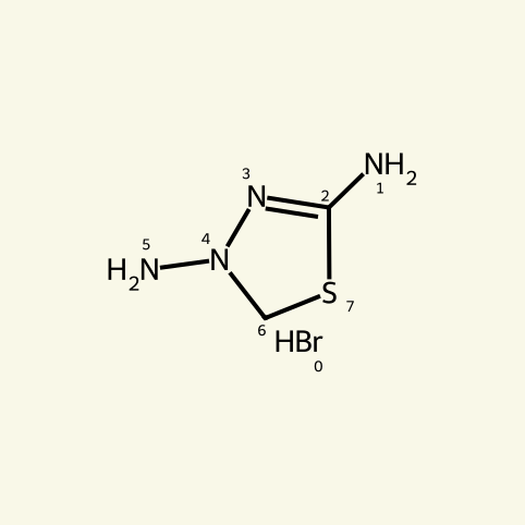 Br.NC1=NN(N)CS1